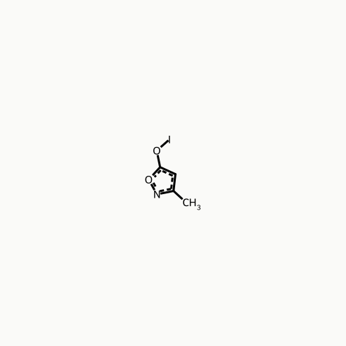 Cc1cc(OI)on1